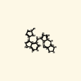 Cc1ccc(-c2coc3ncnc(Sc4nnc(CN5CCCC5=O)o4)c23)s1